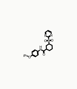 CC(C)Oc1ccc(NC(=O)C2CCCC(S(=O)(=O)c3ncccn3)C2)cc1